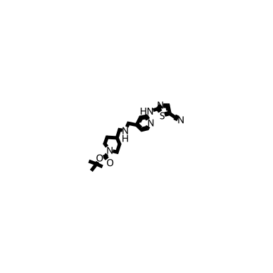 CC(C)(C)OC(=O)N1CCC(CNCc2ccnc(Nc3ncc(C#N)s3)c2)CC1